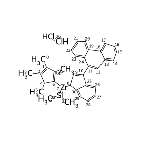 CC1=C(C)C(C)[C]([Zr]([CH]2C=C(c3cc4ccccc4c4ccccc34)c3ccccc32)=[Si](C)C)=C1C.Cl.Cl